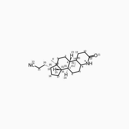 C[C@]12CC[C@H]3[C@@H](CCC4NC(=O)CC[C@@]43C)[C@@H]1CC[C@@H]2CCC#N